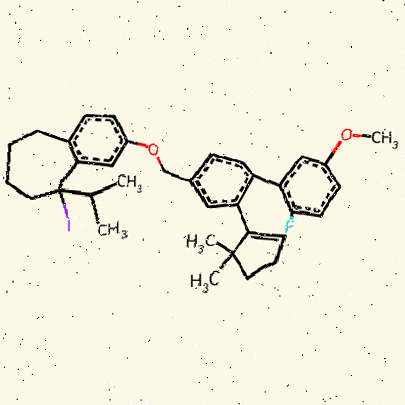 COc1ccc(F)c(-c2ccc(COc3ccc4c(c3)C(I)(C(C)C)CCCC4)cc2C2=CCCC2(C)C)c1